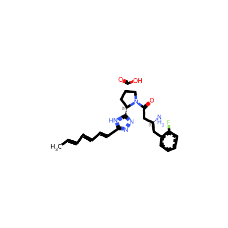 CC=CC=CC=Cc1nnc([C@@H]2CCCN2C(=O)C[C@H](N)Cc2ccccc2F)[nH]1.O=CO